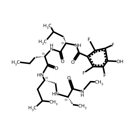 CCC[C@H](NC(=O)[C@H](CC(C)C)NC(=O)c1c(F)c(F)c(O)c(F)c1F)C(=O)N[C@H](CN[C@@H](CC)C(=O)NCC)CC(C)C